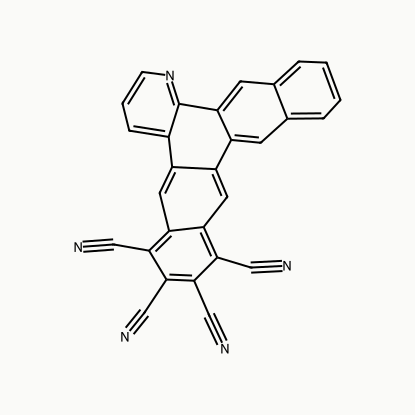 N#Cc1c(C#N)c(C#N)c2cc3c(cc2c1C#N)c1cc2ccccc2cc1c1ncccc31